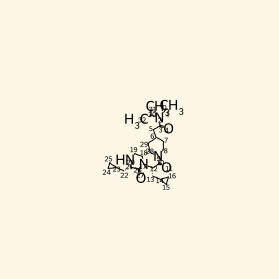 CCN(C(=O)CC1CCN(C(=O)[C@H](CC2CC2)N2CCN[C@@H](CC3CC3)C2=O)CC1)C(C)C